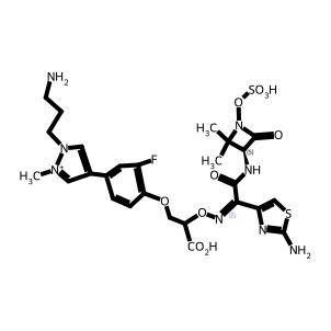 C[n+]1cc(-c2ccc(OCC(O/N=C(\C(=O)N[C@@H]3C(=O)N(OS(=O)(=O)O)C3(C)C)c3csc(N)n3)C(=O)O)c(F)c2)cn1CCCN